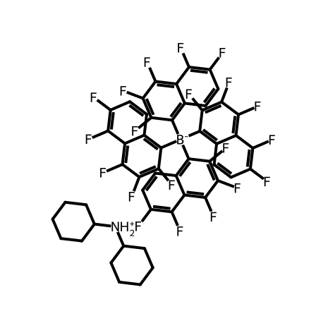 C1CCC([NH2+]C2CCCCC2)CC1.Fc1ccc2c([B-](c3c(F)c(F)c(F)c4c(F)c(F)ccc34)(c3c(F)c(F)c(F)c4c(F)c(F)ccc34)c3c(F)c(F)c(F)c4c(F)c(F)ccc34)c(F)c(F)c(F)c2c1F